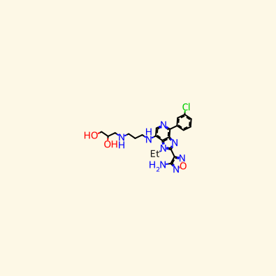 CCn1c(-c2nonc2N)nc2c(-c3cccc(Cl)c3)ncc(NCCCNCC(O)CO)c21